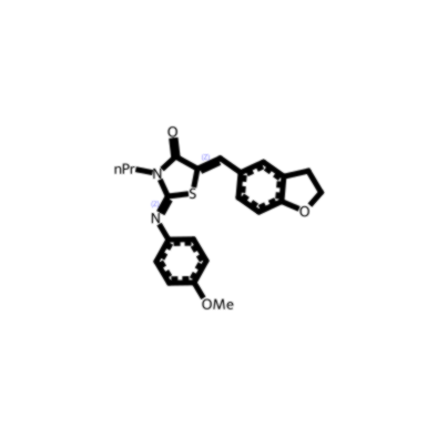 CCCN1C(=O)/C(=C/c2ccc3c(c2)CCO3)S/C1=N\c1ccc(OC)cc1